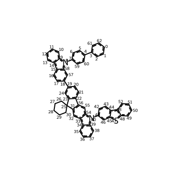 c1ccc(-c2ccc(-n3c4ccccc4c4ccc(-c5ccc6c(c5)C5(CCCCC5)c5cc7c8ccccc8n(-c8ccc9c(c8)sc8ccccc89)c7cc5-6)cc43)cc2)cc1